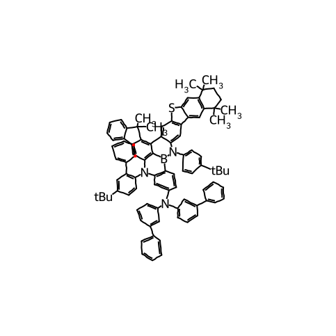 CC(C)(C)c1ccc(N2B3c4ccc(N(c5cccc(-c6ccccc6)c5)c5cccc(-c6ccccc6)c5)cc4N(c4ccc(C(C)(C)C)cc4-c4ccccc4)c4cc5c(c(c43)-c3cc4sc6cc7c(cc6c4cc32)C(C)(C)CCC7(C)C)C(C)(C)c2ccccc2-5)cc1